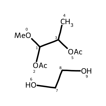 COC(OC(C)=O)C(C)OC(C)=O.OCCO